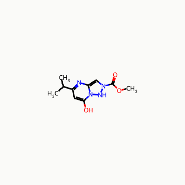 COC(=O)N1C=C2N=C(C(C)C)C=C(O)N2N1